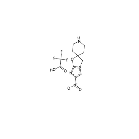 O=C(O)C(F)(F)F.O=[N+]([O-])c1cn2c(n1)OC1(CCNCC1)C2